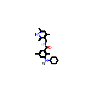 C=C1NC(C)=CC(C)=C1CNC(=O)c1cc(C)cc(N(CC)C2CCCCC2)c1C